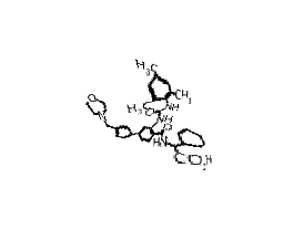 Cc1cc(C)c(NC(=O)Nc2cc(-c3ccc(CN4CCOCC4)cc3)ccc2C(=O)N[C@H](C(=O)O)C2CCCCC2)c(C)c1